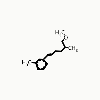 COC[C@@H](C)CC/C=C/c1cccc(C)c1